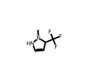 CN1N[C]=CC1C(F)(F)F